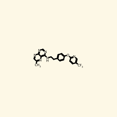 Cc1cnc2ncnc(NCCc3ccc(Oc4ccc(C(F)(F)F)cn4)cc3)c2n1